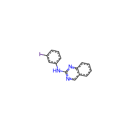 Ic1cccc(Nc2ncc3ccccc3n2)c1